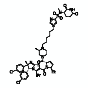 CC[C@@H]1C=C[C@@H](C(=O)N2CCN(CCCCCCn3cnc(S(=O)(=O)N(C)C4CCC(=O)NC4=O)c3)[C@H](C)C2)N1C(=O)C1=C(C(C)C)N2C(=N[C@@](C)(c3ccc(Cl)cc3)[C@H]2c2ccc(Cl)cc2)S1